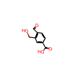 O=Cc1ccc(C(=O)O)cc1CO